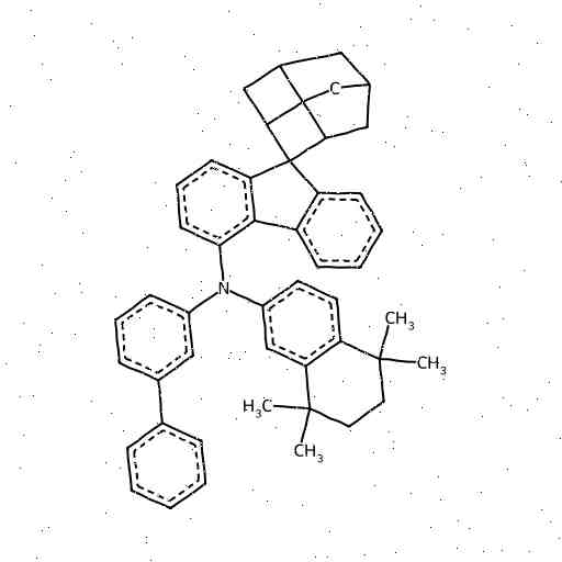 CC1(C)CCC(C)(C)c2cc(N(c3cccc(-c4ccccc4)c3)c3cccc4c3-c3ccccc3C43C4CC5CC6CC3C64C5)ccc21